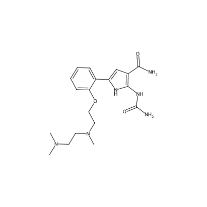 CN(C)CCN(C)CCOc1ccccc1-c1cc(C(N)=O)c(NC(N)=O)[nH]1